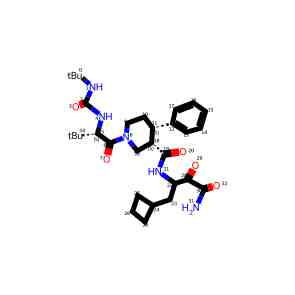 CC(C)(C)NC(=O)N[C@H](C(=O)N1CC[C@H](c2ccccc2)[C@H](C(=O)NC(CC2CCC2)C(=O)C(N)=O)C1)C(C)(C)C